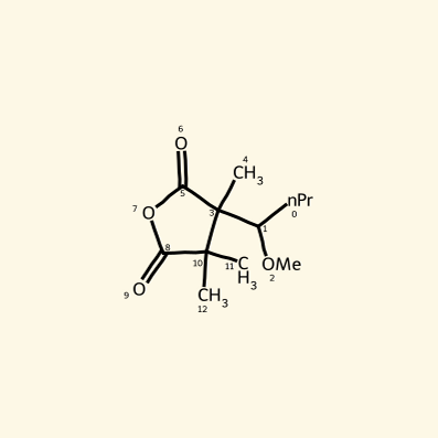 CCCC(OC)C1(C)C(=O)OC(=O)C1(C)C